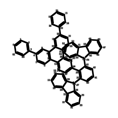 c1ccc(-c2ccc3c(c2)c2cc(-c4ccccc4)ccc2c2nc(-c4c(-n5c6ccccc6c6ccccc65)cccc4-n4c5ccccc5c5ccccc54)cnc32)cc1